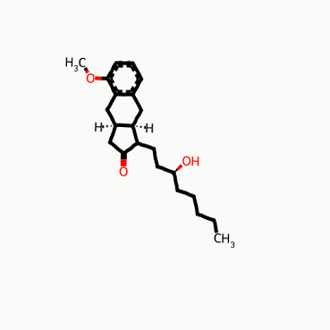 CCCCC[C@H](O)CCC1C(=O)C[C@H]2Cc3c(cccc3OC)C[C@@H]12